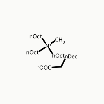 CCCCCCCCCCCC(=O)[O-].CCCCCCCC[N+](C)(CCCCCCCC)CCCCCCCC